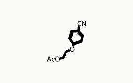 CC(=O)OCCOc1ccc(C#N)cc1